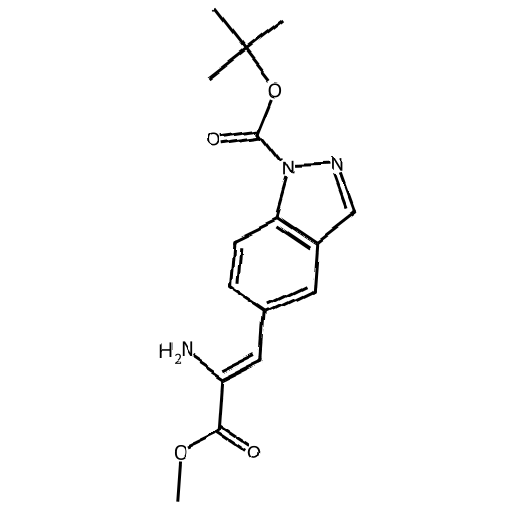 COC(=O)/C(N)=C/c1ccc2c(cnn2C(=O)OC(C)(C)C)c1